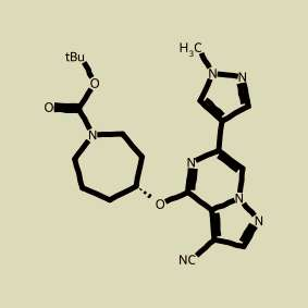 Cn1cc(-c2cn3ncc(C#N)c3c(O[C@@H]3CCCN(C(=O)OC(C)(C)C)CC3)n2)cn1